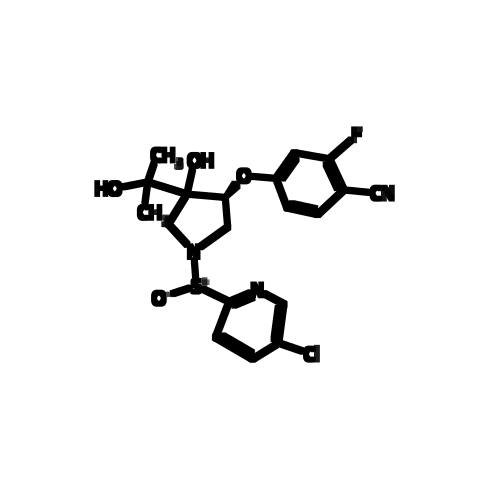 CC(C)(O)C1(O)CN([S+]([O-])c2ccc(Cl)cn2)C[C@@H]1Oc1ccc(C#N)c(F)c1